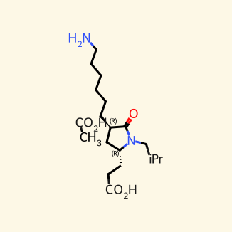 CC(=O)O.CC(C)CN1C(=O)[C@H](CCCCCCN)C[C@H]1CCC(=O)O